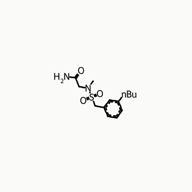 CCCCc1cccc(CS(=O)(=O)N(C)CC(N)=O)c1